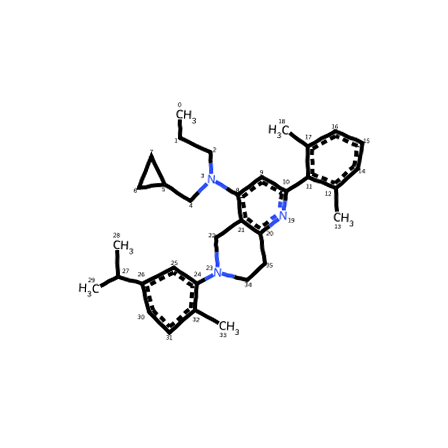 CCCN(CC1CC1)c1cc(-c2c(C)cccc2C)nc2c1CN(c1cc(C(C)C)ccc1C)CC2